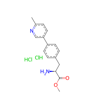 COC(=O)[C@@H](N)Cc1ccc(-c2ccc(C)nc2)cc1.Cl.Cl